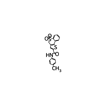 Cc1ccc(NC(=O)c2cc3c(s2)-c2ccccc2S(=O)(=O)C3)cc1